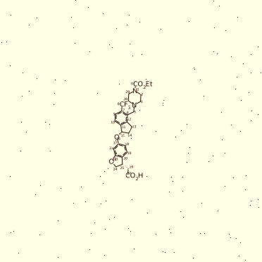 CCOC(=O)N1CCN(Cc2c(C(F)(F)F)ccc3c2CC[C@H]3Oc2ccc3c(c2)OC[C@H]3CC(=O)O)CC1